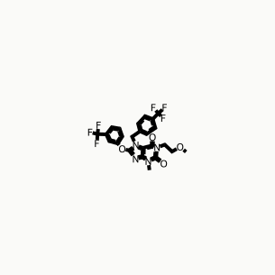 COCCn1c(=O)c2c(nc(Oc3cccc(C(F)(F)F)c3)n2Cc2ccc(C(F)(F)F)cc2)n(C)c1=O